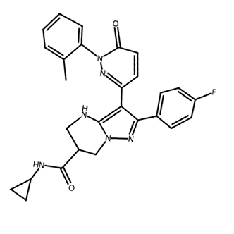 Cc1ccccc1-n1nc(-c2c(-c3ccc(F)cc3)nn3c2NCC(C(=O)NC2CC2)C3)ccc1=O